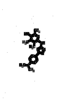 Cc1nc(Nc2nnc(-c3ccc(N(C)C)cc3)s2)c(C)c(C)c1O